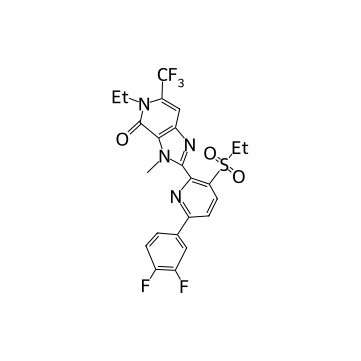 CCn1c(C(F)(F)F)cc2nc(-c3nc(-c4ccc(F)c(F)c4)ccc3S(=O)(=O)CC)n(C)c2c1=O